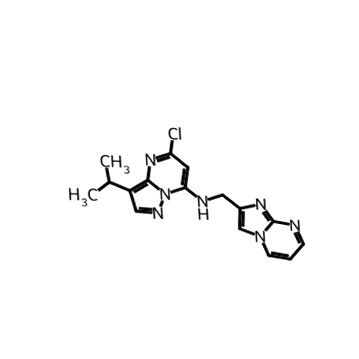 CC(C)c1cnn2c(NCc3cn4cccnc4n3)cc(Cl)nc12